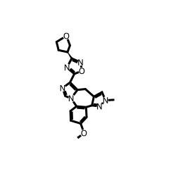 COc1ccc2c(c1)-c1nn(C)cc1Cc1c(-c3nc([C@H]4CCOC4)no3)ncn1-2